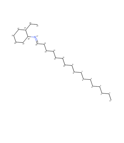 CCCCCCCCCCCCCCCCC=NC1CCCCC1CC